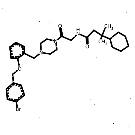 CC(C)(CC(=O)NCC(=O)N1CCN(Cc2ccccc2OCc2ccc(Br)cc2)CC1)C1CCCCC1